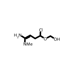 CN/C(N)=C\CC(Cl)OCO